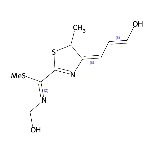 CS/C(=N\CO)C1=N/C(=C/C=C/O)C(C)S1